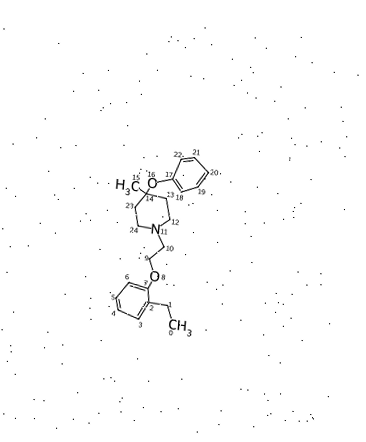 CCc1ccccc1OCCN1CCC(C)(Oc2ccccc2)CC1